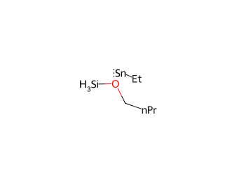 CCCCO[SiH3].C[CH2][Sn]